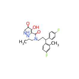 CCCN(CCC(c1ccc(F)cc1)c1ccc(F)cc1C)C(=O)c1[nH]ncc(=O)c1O